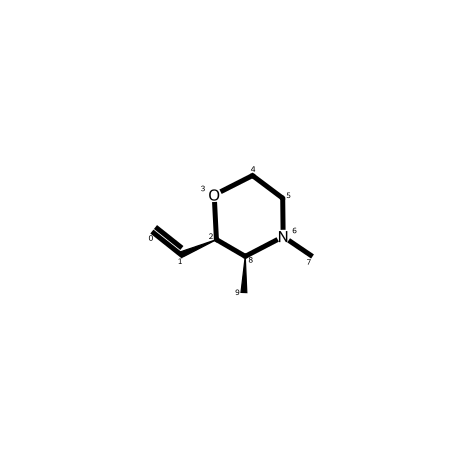 C=C[C@H]1OCCN(C)[C@H]1C